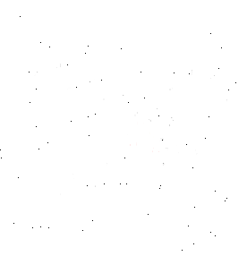 CCCCCCCCCC1CCc2ccccc2C1(CCCCCCCCC)S(=O)(=O)O